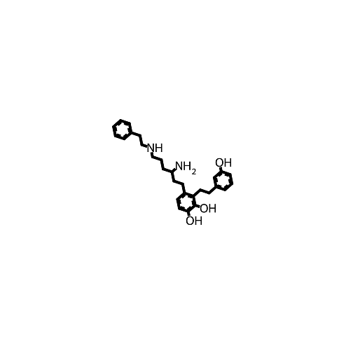 NC(CCCNCCc1ccccc1)CCc1ccc(O)c(O)c1CCc1cccc(O)c1